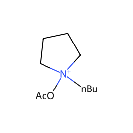 CCCC[N+]1(OC(C)=O)CCCC1